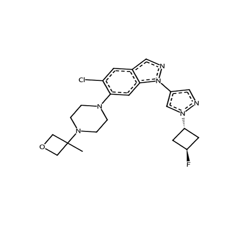 CC1(N2CCN(c3cc4c(cnn4-c4cnn([C@H]5C[C@H](F)C5)c4)cc3Cl)CC2)COC1